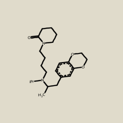 CC(C)N(CCCCN1CCCCC1=O)C(C)Cc1ccc2c(c1)OCCO2